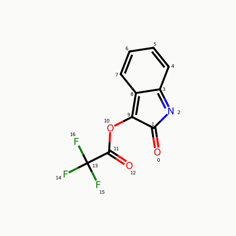 O=C1N=c2ccccc2=C1OC(=O)C(F)(F)F